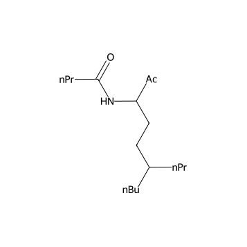 CCCCC(CCC)CCC(NC(=O)CCC)C(C)=O